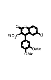 CCOC(=O)c1c(-c2ccc(OC)c(OC)c2)c2cc(Cl)ccc2oc1=O